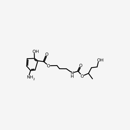 CC(CCO)OC(=O)NCCCOC(=O)c1cc(N)ccc1O